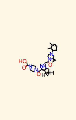 Cc1cccc(N2CCN(C(=O)Cn3nc(C(=O)N4CCN(C(=O)CO)CC4)c4c3C[C@H]3C[C@@H]43)C3(CC3)C2)c1C